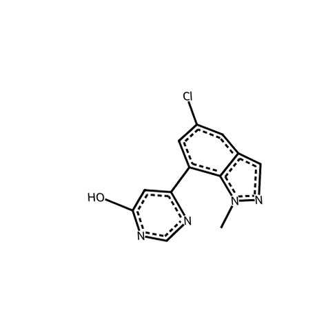 Cn1ncc2cc(Cl)cc(-c3cc(O)ncn3)c21